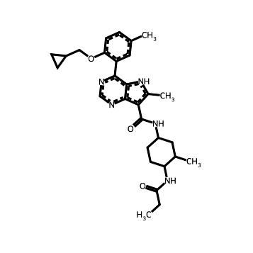 CCC(=O)NC1CCC(NC(=O)c2c(C)[nH]c3c(-c4cc(C)ccc4OCC4CC4)ncnc23)CC1C